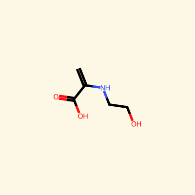 C=C(NCCO)C(=O)O